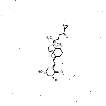 C=C1/C(=C/C=C2\CCC[C@]3(C)[C@@H]([C@H](C)CCC(=O)C4CC4)CC[C@@H]23)C[C@@H](O)C[C@@H]1O